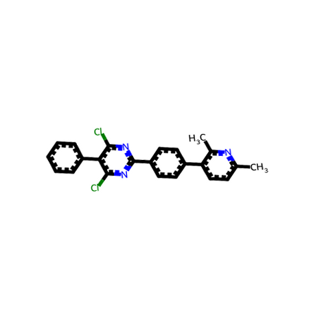 Cc1ccc(-c2ccc(-c3nc(Cl)c(-c4ccccc4)c(Cl)n3)cc2)c(C)n1